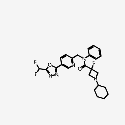 O=C(N(Cc1ccc(-c2nnc(C(F)F)o2)cn1)c1ccccc1)C1(F)CN(C2CCCCC2)C1